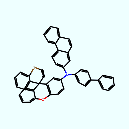 c1ccc(-c2ccc(N(c3ccc4c(c3)C3(c5ccccc5O4)c4ccccc4Sc4ccccc43)c3ccc4c(ccc5ccccc54)c3)cc2)cc1